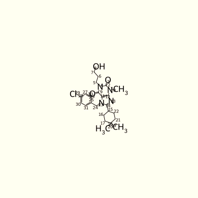 Cn1c(=O)n(CCCO)c(=O)c2c1nc(C1CCC(C)(C)CC1)n2Cc1ccc(Cl)cc1